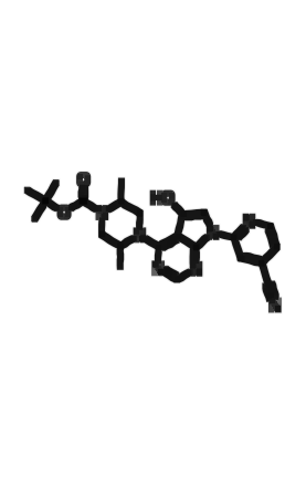 CC1CN(c2ncnc3c2c(O)cn3-c2cc(C#N)ccn2)C(C)CN1C(=O)OC(C)(C)C